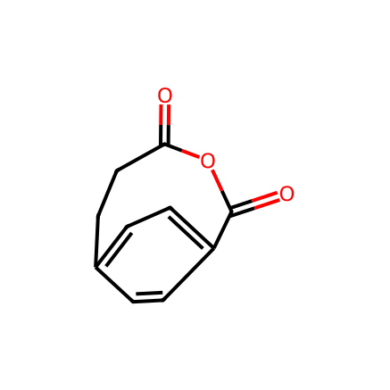 O=C1CCc2ccc(cc2)C(=O)O1